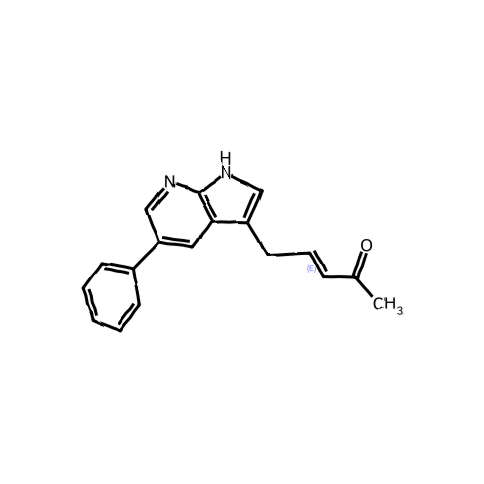 CC(=O)/C=C/Cc1c[nH]c2ncc(-c3ccccc3)cc12